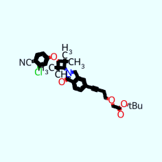 CC(C)(C)OC(=O)COCCC#Cc1ccc2c(c1)CN(C1C(C)(C)C(Oc3ccc(C#N)c(Cl)c3)C1(C)C)C2=O